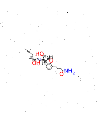 CC#CC[C@H](C)[C@H](O)/C=C/[C@@H]1[C@H]2c3cccc(CCCC(N)=O)c3O[C@H]2C[C@H]1O